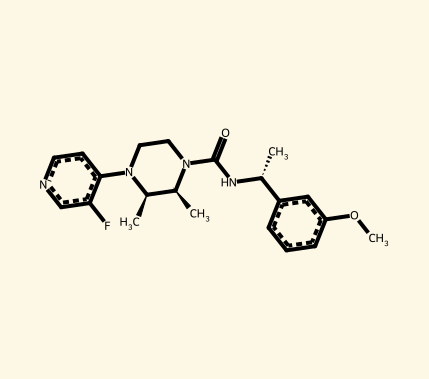 COc1cccc([C@@H](C)NC(=O)N2CCN(c3ccncc3F)[C@H](C)[C@@H]2C)c1